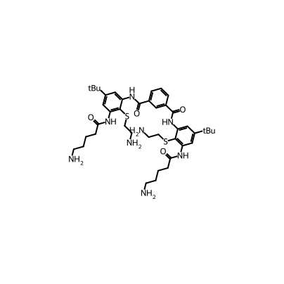 CC(C)(C)c1cc(NC(=O)CCCCN)c(SCCN)c(NC(=O)c2cccc(C(=O)Nc3cc(C(C)(C)C)cc(NC(=O)CCCCN)c3SCCN)c2)c1